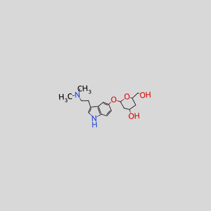 CN(C)CCc1c[nH]c2ccc(OC3CC(O)CC(CO)O3)cc12